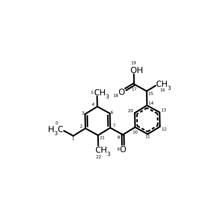 CCC1=CC(C)C=C(C(=O)c2cccc(C(C)C(=O)O)c2)C1C